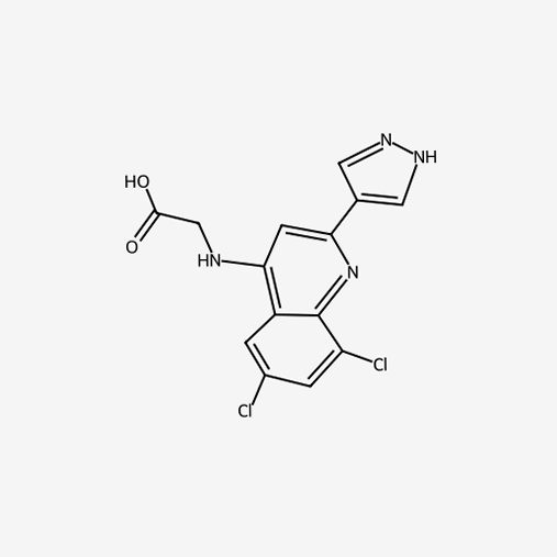 O=C(O)CNc1cc(-c2cn[nH]c2)nc2c(Cl)cc(Cl)cc12